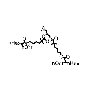 CCCCCCCCC(CCCCCC)C(=O)OCCCCC(C)(C)C(=O)OCC(CN(C)C)OC(=O)C(C)(C)CCCCOC(=O)C(CCCCCC)CCCCCCCC